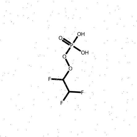 O=P(O)(O)OOC(F)C(F)F